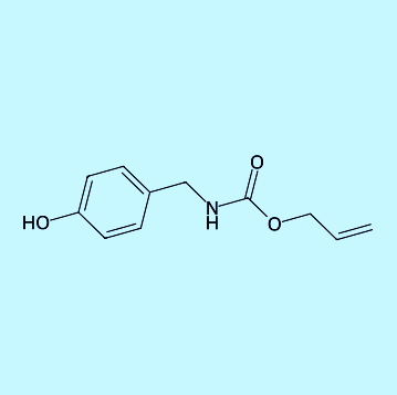 C=CCOC(=O)NCc1ccc(O)cc1